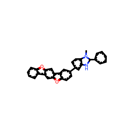 CN1c2ccc(-c3ccc4oc5cc6c(cc5c4c3)oc3ccccc36)cc2NC1c1ccccc1